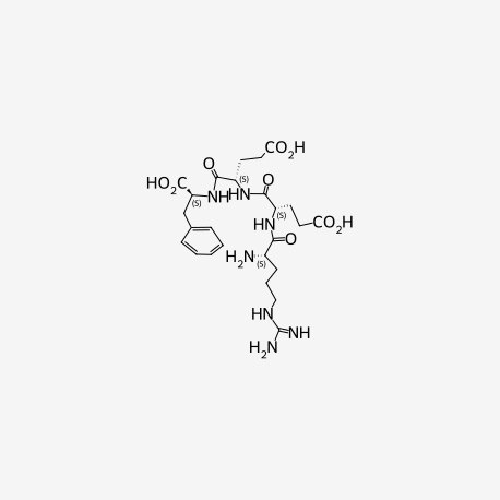 N=C(N)NCCC[C@H](N)C(=O)N[C@@H](CCC(=O)O)C(=O)N[C@@H](CCC(=O)O)C(=O)N[C@@H](Cc1ccccc1)C(=O)O